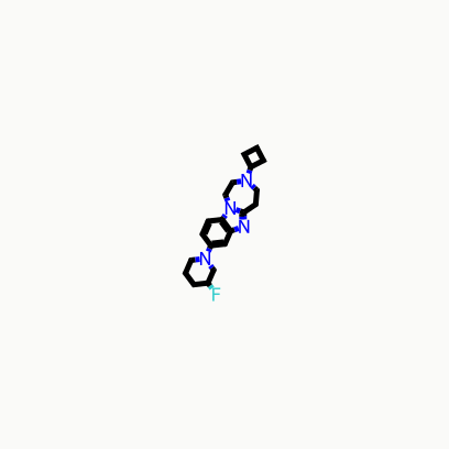 FC1CCCN(c2ccc3c(c2)nc2n3CCN(C3CCC3)CC2)C1